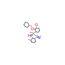 CCC(CC)(Pc1c(C)cccc1/C=N/C)c1cccc(OC)c1OCc1ccccc1